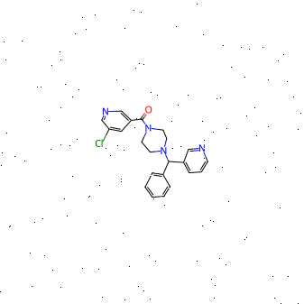 O=C(c1cncc(Cl)c1)N1CCN(C(c2ccccc2)c2cccnc2)CC1